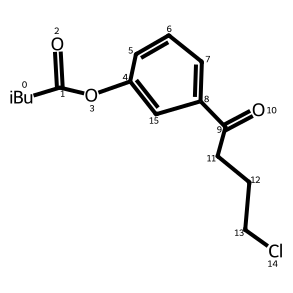 CCC(C)C(=O)Oc1cccc(C(=O)CCCCl)c1